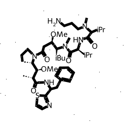 CC[C@H](C)C([C@@H](CC(=O)N1CCC[C@H]1[C@H](OC)[C@@H](C)C(=O)NC(Cc1ccccc1)c1nccs1)OC)N(C)C(=O)[C@@H](NC(=O)C(C(C)C)N(C)CCCN)C(C)C